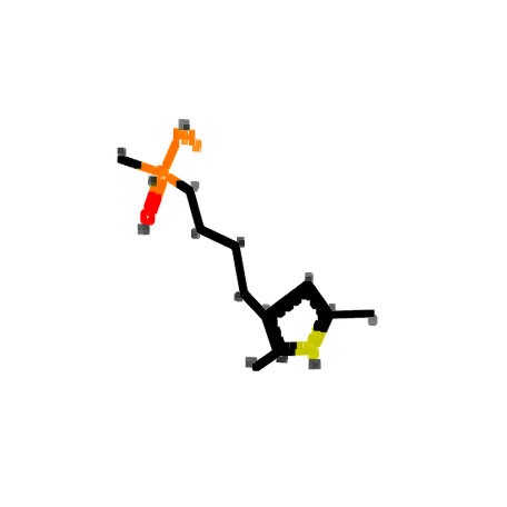 Cc1cc(CCCCP(C)(=O)P)c(C)s1